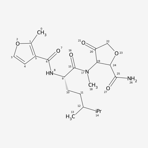 Cc1occc1C(=O)N[C@@H](CCC(C)C(C)C)C(=O)N(C)C1C(=O)COC1C(N)=O